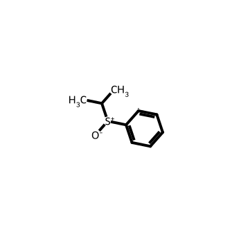 CC(C)[S+]([O-])c1[c]cccc1